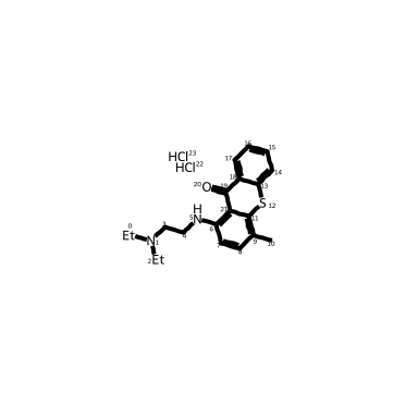 CCN(CC)CCNc1ccc(C)c2sc3ccccc3c(=O)c12.Cl.Cl